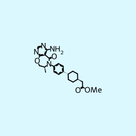 COC(=O)C[C@H]1CC[C@H](c2ccc(N3C(=O)c4c(N)ncnc4OC[C@@H]3C)cc2)CC1